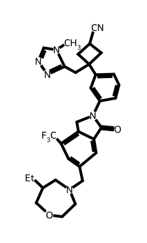 CCC1COCCN(Cc2cc3c(c(C(F)(F)F)c2)CN(c2cccc(C4(Cc5nncn5C)CC(C#N)C4)c2)C3=O)C1